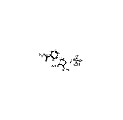 CC(=O)OC1C(OC(C)=O)[C@@H](COP(=O)(O)O)O[C@H]1N1C=CCC(C(N)=O)=C1